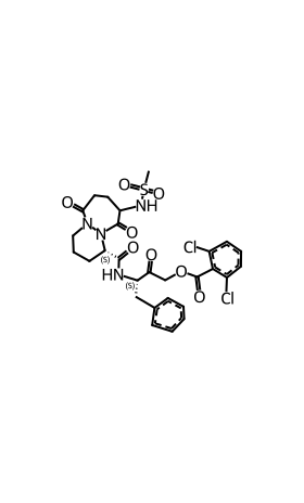 CS(=O)(=O)NC1CCC(=O)N2CCC[C@@H](C(=O)N[C@@H](Cc3ccccc3)C(=O)COC(=O)c3c(Cl)cccc3Cl)N2C1=O